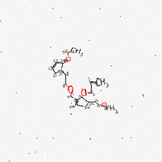 CCCOC1C(COCCC2CC=CC2OCC)=CCC1CCOC